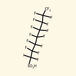 O=S(=O)(O)C(F)(I)C(F)(F)C(F)(F)C(F)(F)C(F)(F)C(F)(F)C(F)(F)C(F)(F)F